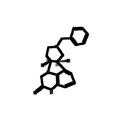 O=C1CN2c3c(cccc3[C@@H]3CN(Cc4ccccc4)CC[C@H]32)N1